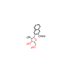 COc1cc2ccccc2cc1C1OC(CO)C(O)C1N=O